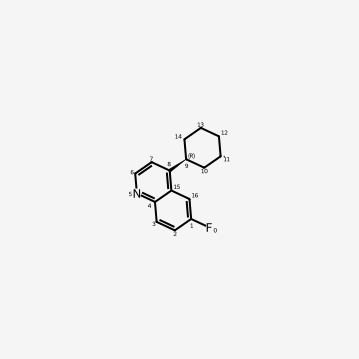 Fc1ccc2nccc([C@@H]3C[CH]CCC3)c2c1